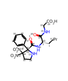 CC(C)C[C@H](NC(=O)[C@@]1(c2ccccc2)NCCC1([N+](=O)[O-])[N+](=O)[O-])C(=O)NCC(=O)O